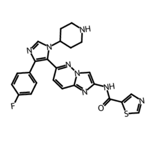 O=C(Nc1cn2nc(-c3c(-c4ccc(F)cc4)ncn3C3CCNCC3)ccc2n1)c1cncs1